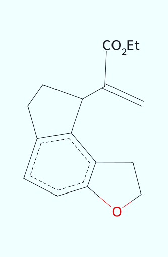 C=C(C(=O)OCC)C1CCc2ccc3c(c21)CCO3